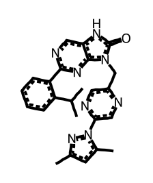 Cc1cc(C)n(-c2cnc(Cn3c(=O)[nH]c4cnc(-c5ccccc5C(C)C)nc43)cn2)n1